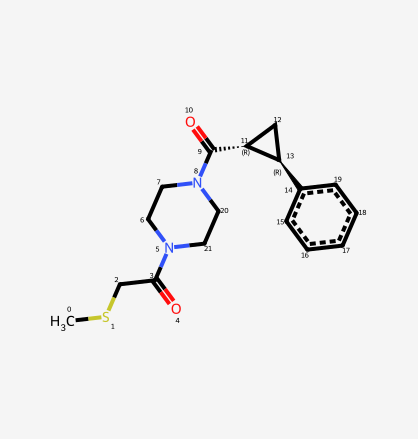 CSCC(=O)N1CCN(C(=O)[C@@H]2C[C@H]2c2ccccc2)CC1